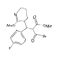 COC(=O)C(C(=O)C(C)C)C(c1ccc(F)cc1)C1CCCN=C1OC